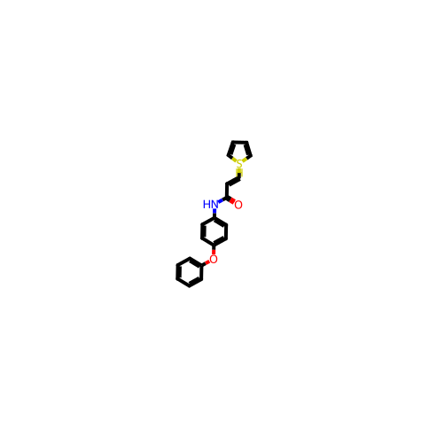 O=C(C=C[SH]1C=CC=C1)Nc1ccc(Oc2ccccc2)cc1